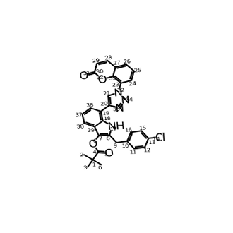 CC(C)(C)C(=O)Oc1c(Cc2ccc(Cl)cc2)[nH]c2c(-c3cn(-c4cccc5ccc(=O)oc45)nn3)cccc12